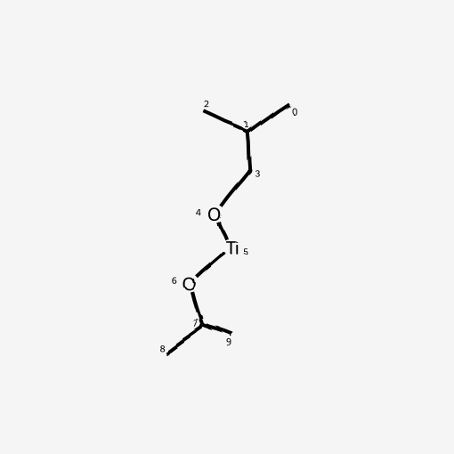 CC(C)C[O][Ti][O]C(C)C